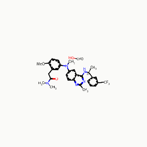 COc1ccc(N(C)c2ccc3nc(C)nc(N[C@@H](C)c4cccc(C(F)(F)F)c4)c3c2)cc1CC(=O)N(C)C.O=CO